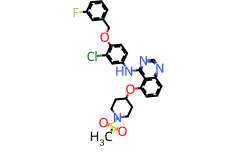 CS(=O)(=O)N1CCC(Oc2cccc3ncnc(Nc4ccc(OCc5cccc(F)c5)c(Cl)c4)c23)CC1